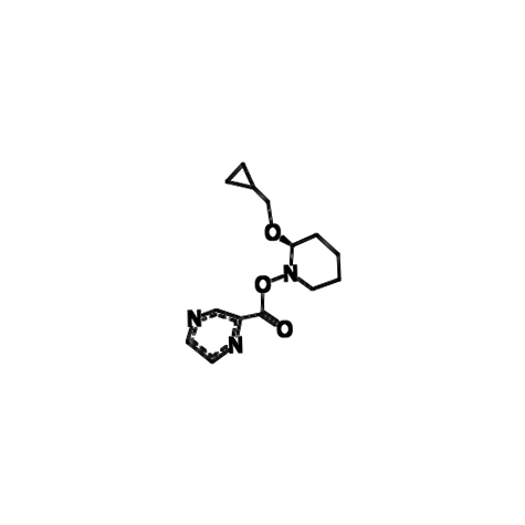 O=C(ON1CCCC[C@@H]1OCC1CC1)c1cnccn1